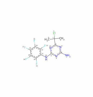 CC(C)(Cl)c1nc(N)nc(Nc2c(F)c(F)c(F)c(F)c2F)n1